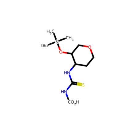 CC(C)(C)[Si](C)(C)OC1COCCC1NC(=S)NC(=O)O